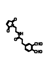 O=Cc1ccc(CCC(=O)NCCN2C(=O)C=CC2=O)cc1C=O